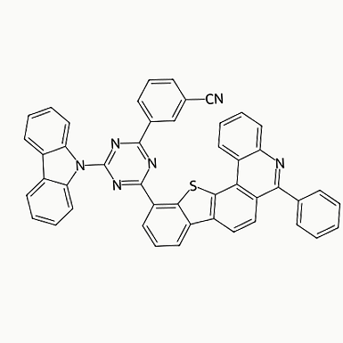 N#Cc1cccc(-c2nc(-c3cccc4c3sc3c4ccc4c(-c5ccccc5)nc5ccccc5c43)nc(-n3c4ccccc4c4ccccc43)n2)c1